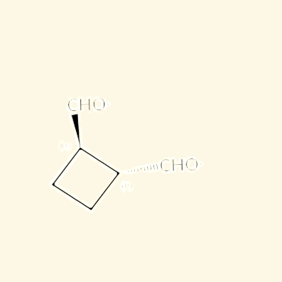 O=[C][C@@H]1CC[C@H]1[C]=O